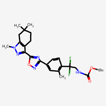 Cc1cc(-c2noc(-c3nn(C)c4c3CCC(C)(C)C4)n2)ccc1C(F)(F)CNC(=O)OC(C)(C)C